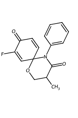 CC1COC2(C=CC(=O)C(F)=C2)N(c2ccccc2)C1=O